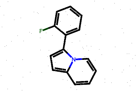 Fc1ccccc1-c1ccc2ccccn12